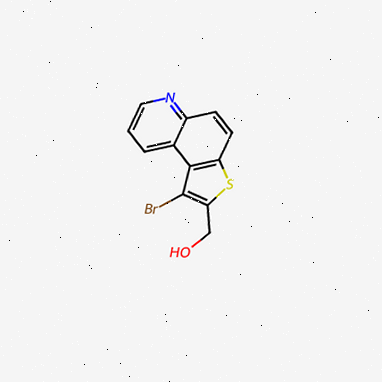 OCc1sc2ccc3ncccc3c2c1Br